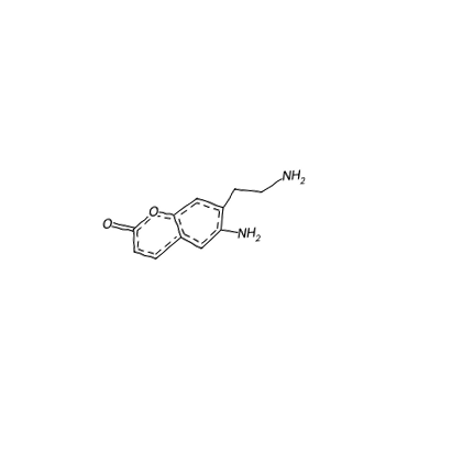 NCCc1cc2oc(=O)ccc2cc1N